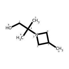 CC1CN(C(C)(C)CO)C1